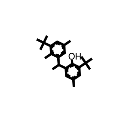 Cc1cc(C(C)c2cc(C)cc(C(C)(C)C)c2O)c(C)c(C(C)(C)C)c1